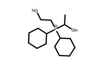 CC(O)[PH](CCO)(C1CCCCC1)C1CCCCC1